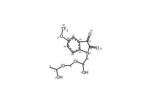 CC(O)OCOC(O)CN1C(=O)C(=O)c2cc(OC(F)(F)F)ccc21